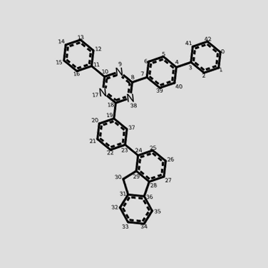 c1ccc(-c2ccc(-c3nc(-c4ccccc4)nc(-c4cccc(-c5cccc6c5Cc5ccccc5-6)c4)n3)cc2)cc1